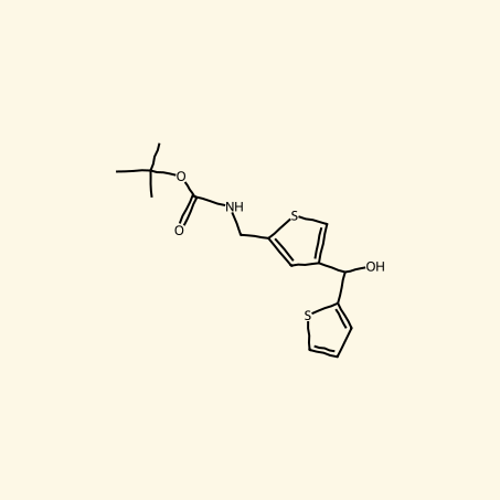 CC(C)(C)OC(=O)NCc1cc(C(O)c2cccs2)cs1